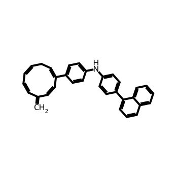 C=C1/C=C\C=C/C/C=C(c2ccc(Nc3ccc(-c4cccc5ccccc45)cc3)cc2)\C=C/1